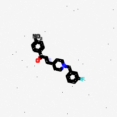 O=C(/C=C/C1CCN(Cc2cccc(F)c2)CC1)c1ccc([N+](=O)[O-])cc1